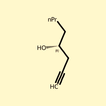 C#CC[C@H](O)CCCC